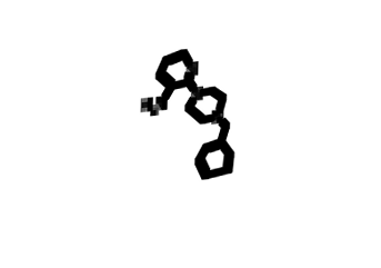 Nc1cccnc1N1CCN(Cc2ccccc2)CC1